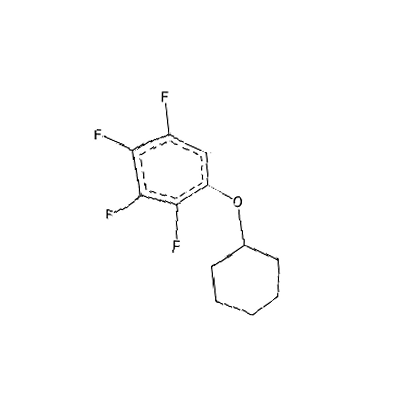 Fc1[c]c(OC2CCCCC2)c(F)c(F)c1F